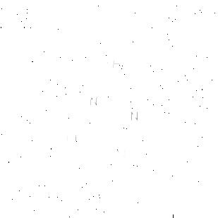 Cc1nc(S)c(C(C)C)nc1S